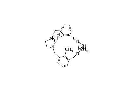 Cc1c2cccc1CN1CCN3Cc4cccc(c4P[C@H]13)CN1CCN(C2)[C@@H]1C